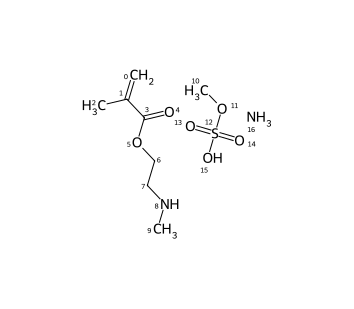 C=C(C)C(=O)OCCNC.COS(=O)(=O)O.N